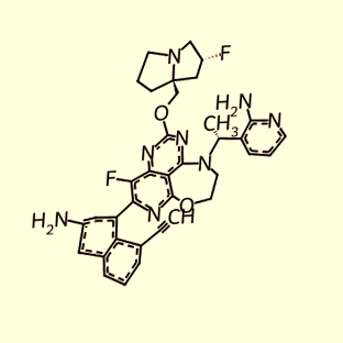 C#Cc1cccc2cc(N)cc(-c3nc4c5c(nc(OC[C@@]67CCCN6C[C@H](F)C7)nc5c3F)N([C@H](C)c3cccnc3N)CCO4)c12